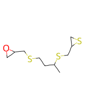 CC(CCSCC1CO1)SCC1CS1